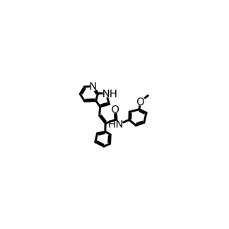 COc1cccc(NC(=O)C(=Cc2c[nH]c3ncccc23)c2ccccc2)c1